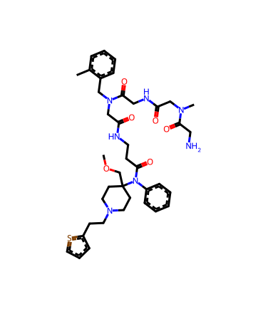 COCC1(N(C(=O)CCNC(=O)CN(Cc2ccccc2C)C(=O)CNC(=O)CN(C)C(=O)CN)c2ccccc2)CCN(CCc2cccs2)CC1